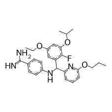 CCCOc1cccc(C(Nc2ccc(C(=N)N)cc2)c2cc(OCC)cc(OC(C)C)c2F)n1